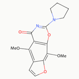 COc1c2occc2c(OC)c2c(=O)nc(N3CCCC3)oc12